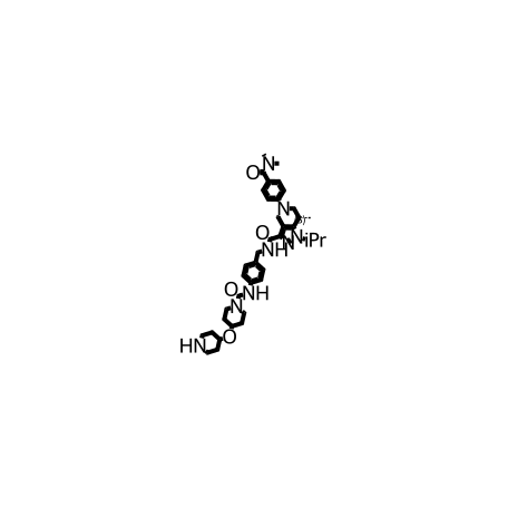 CC(C)n1nc(C(=O)NCc2ccc(NC(=O)N3CCC(OC4CCNCC4)CC3)cc2)c2c1[C@@H](C)CN(c1ccc(C(=O)N(C)C)cc1)C2